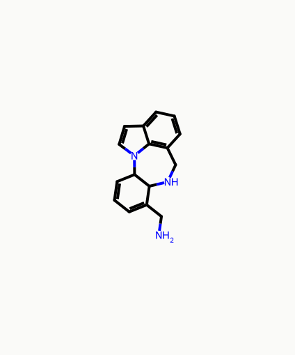 NCC1=CC=CC2C1NCc1cccc3ccn2c13